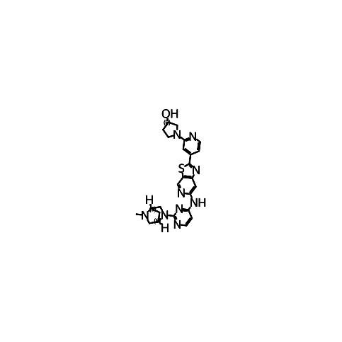 CN1C[C@@H]2C[C@H]1CN2c1nccc(Nc2cc3nc(-c4ccnc(N5CC[C@@H](O)C5)c4)sc3cn2)n1